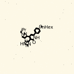 CCCCCCOc1ccc(-c2cc(-c3ccn(CC(C)C)n3)c(-c3nn[nH]n3)c(=O)[nH]2)cc1